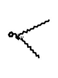 CCCCCCCCCCCCCCCCCc1n(Cc2ccccc2)cc[n+]1CCCCCCCCCCCCCC